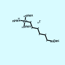 CCCCCCCCCCCCCCCC[N+](CCCCCC)(CCCCCC)CCCCCC.[I-]